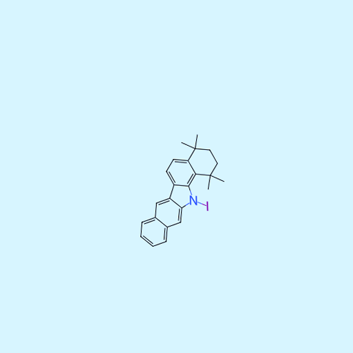 CC1(C)CCC(C)(C)c2c1ccc1c3cc4ccccc4cc3n(I)c21